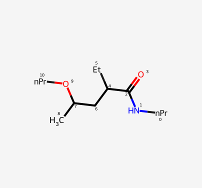 CCCNC(=O)C(CC)CC(C)OCCC